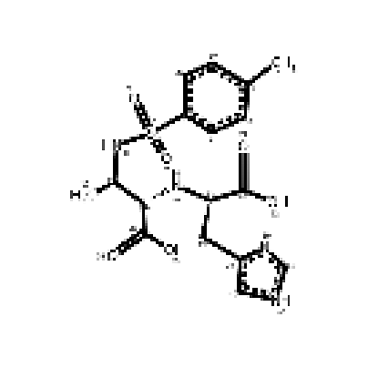 Cc1ccc(S(=O)(=O)N[C@H](C)[C@H](N[C@H](Cc2c[nH]cn2)C(=O)O)C(=O)O)cc1